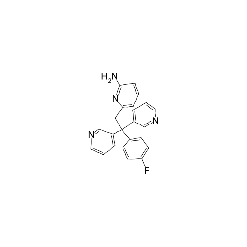 Nc1cccc(CC(c2ccc(F)cc2)(c2cccnc2)c2cccnc2)n1